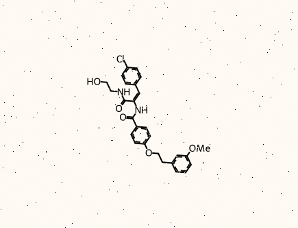 COc1cccc(CCOc2ccc(C(=O)NC(=Cc3ccc(Cl)cc3)C(=O)NCCO)cc2)c1